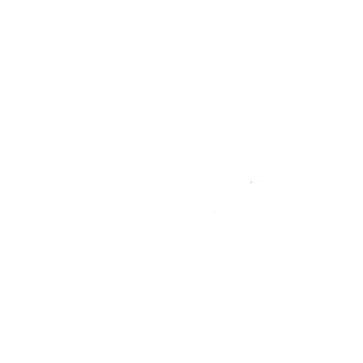 CCCCOC(=O)CC(CCc1ccccc1)C(=O)O